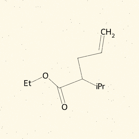 C=CCC(C(=O)OCC)C(C)C